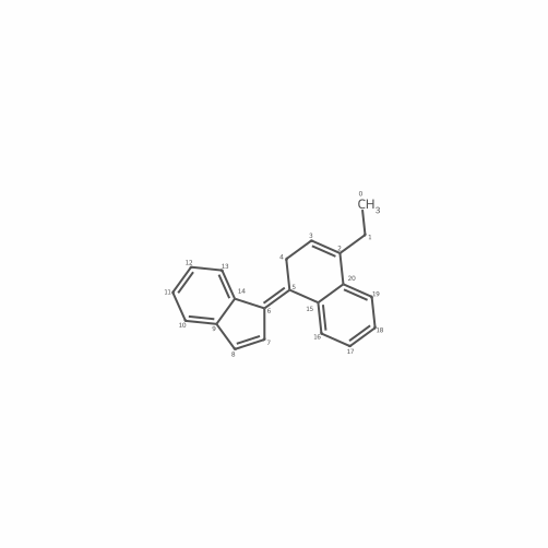 CCC1=CCC(=C2C=Cc3ccccc32)c2ccccc21